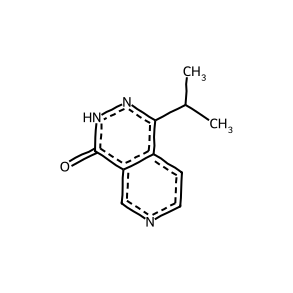 CC(C)c1n[nH]c(=O)c2cnccc12